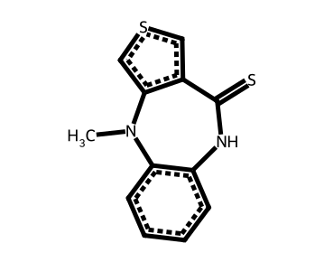 CN1c2ccccc2NC(=S)c2cscc21